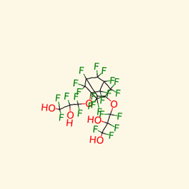 OC(F)(F)C(O)(F)C(F)(F)OC12C(F)(F)C3(F)C(F)(F)C(F)(C1(F)F)C(F)(F)C(OC(F)(F)C(O)(F)C(O)(F)F)(C3(F)F)C2(F)F